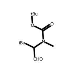 CCC(C)C(C=O)N(C)C(=O)OC(C)(C)C